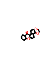 O=c1c2ccccc2oc2ccc3c4c(ccc3c12)OCCO4